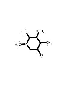 CC1C(Br)CN(C)C(C)C1C